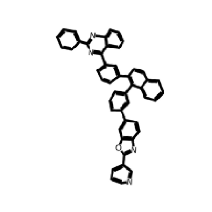 c1ccc(-c2nc(-c3cccc(-c4ccc5ccccc5c4-c4cccc(-c5ccc6nc(-c7cccnc7)oc6c5)c4)c3)c3ccccc3n2)cc1